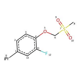 CC(C)c1ccc(OCS(C)(=O)=O)c(F)c1